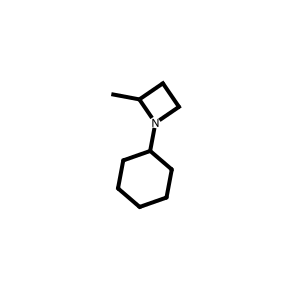 CC1CCN1C1CCCCC1